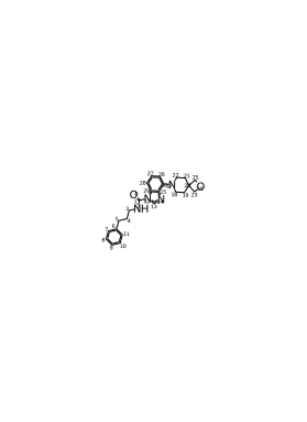 O=C(NCCCc1ccccc1)n1cnc2c(N3CCC4(CC3)COC4)cccc21